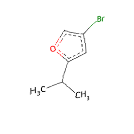 CC(C)c1cc(Br)co1